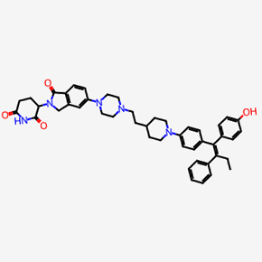 CC/C(=C(\c1ccc(O)cc1)c1ccc(N2CCC(CCN3CCN(c4ccc5c(c4)CN(C4CCC(=O)NC4=O)C5=O)CC3)CC2)cc1)c1ccccc1